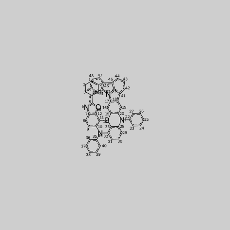 C1=CCCC(c2nc3ccc4c(c3o2)B2c3cc5c(cc3N(c3ccccc3)c3cccc(c32)N4c2ccccc2)c2cccc3c4ccccc4n5c32)=C1